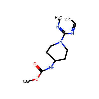 CCC/C=N\C(=N/C)N1CCC(NC(=O)OC(C)(C)C)CC1